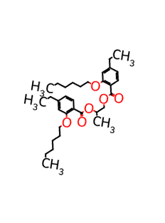 CCCCCCOc1cc(CC)ccc1C(=O)OCC(C)OC(=O)c1ccc(CC)cc1OCCCCCC